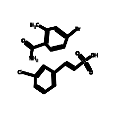 Cc1cc(Br)ccc1C(N)=O.O=S(=O)(O)C=Cc1cccc(Cl)c1